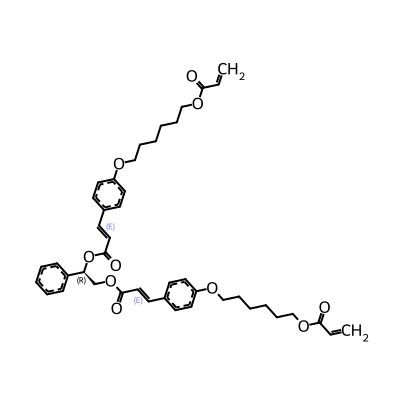 C=CC(=O)OCCCCCCOc1ccc(/C=C/C(=O)OC[C@H](OC(=O)/C=C/c2ccc(OCCCCCCOC(=O)C=C)cc2)c2ccccc2)cc1